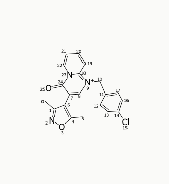 Cc1noc(C)c1-c1c[n+](Cc2ccc(Cl)cc2)c2ccccn2c1=O